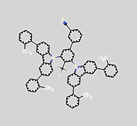 Cc1ccccc1-c1ccc2c(c1)c1cc(-c3ccccc3C)ccc1n2-c1cc(-c2cccc(C#N)c2)cc(-n2c3ccc(-c4ccccc4C)cc3c3cc(-c4ccccc4C)ccc32)c1C(F)(F)F